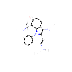 CN(C)C=Cc1c([N+](=O)[O-])c2ccc(O)c(C(C)(C)N)c2n1-c1ccccc1